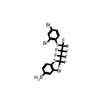 Bc1ccc(SC(F)(F)C(F)(F)C(F)(F)C(F)(F)Sc2ccc(Br)cc2Br)c(Br)c1